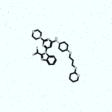 FC(F)c1nc2ccccc2n1-c1cc(N[C@H]2CC[C@H](OCCCOC3CCCCO3)CC2)nc(N2CCOCC2)n1